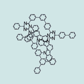 c1ccc(-c2ccc(-c3nc(-c4ccc(-c5cccc(-c6cccc(-c7nc(-c8ccccc8)nc(-n8c9ccccc9c9c8ccc8c%10ccccc%10n(-c%10ccccc%10-c%10cc(-c%11ccccc%11)cc(-c%11ccccc%11)c%10)c89)n7)c6)c5)cc4)nc(-n4c5ccccc5c5c4ccc4c6ccccc6n(-c6ccccc6-c6cc(-c7ccccc7)cc(-c7ccccc7)c6)c45)n3)cc2)cc1